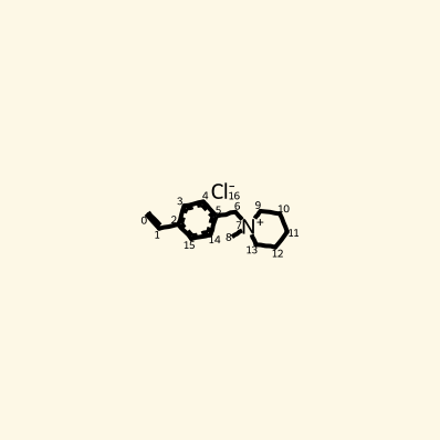 C=Cc1ccc(C[N+]2(C)CCCCC2)cc1.[Cl-]